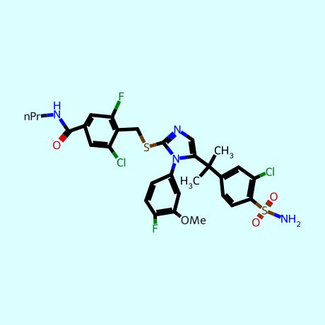 CCCNC(=O)c1cc(F)c(CSc2ncc(C(C)(C)c3ccc(S(N)(=O)=O)c(Cl)c3)n2-c2ccc(F)c(OC)c2)c(Cl)c1